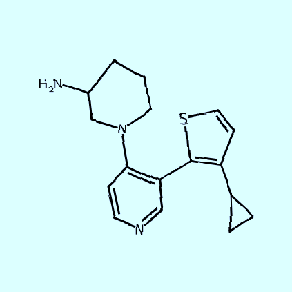 NC1CCCN(c2ccncc2-c2sccc2C2CC2)C1